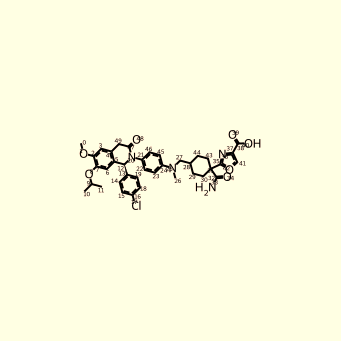 COc1cc2c(cc1OC(C)C)[C@H](c1ccc(Cl)cc1)N(c1ccc(N(C)CC3CCC(C(N)=O)(c4nc(C(=O)O)co4)CC3)cc1)C(=O)C2